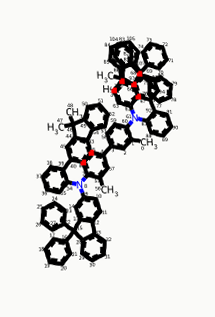 Cc1cc(-c2ccc(N(c3ccc4c(c3)C(c3ccccc3)(c3ccccc3)c3ccccc3-4)c3ccccc3-c3ccc4c(c3)C(C)(C)c3ccccc3-4)c(C)c2)ccc1N(c1ccc2c(c1)C(c1ccccc1)(c1ccccc1)c1ccccc1-2)c1ccccc1-c1ccc2c(c1)C(C)(C)c1ccccc1-2